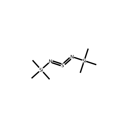 C[Si](C)(C)N=S=N[Si](C)(C)C